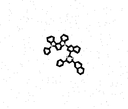 c1ccc(-c2cc(-c3ccc4ccccc4c3)nc(-c3cc(-n4c5ccccc5c5c6c7ccccc7n(-c7ccccc7)c6ccc54)cc4ccccc34)n2)cc1